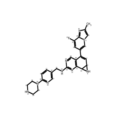 Cc1cn2cc(C3=CC4NC4c4nc(NCc5ccc(N6CCNCC6)nc5)ncc43)cc(F)c2n1